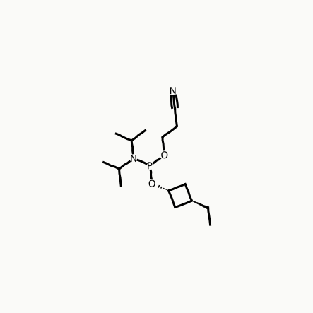 CC[C@H]1C[C@H](OP(OCCC#N)N(C(C)C)C(C)C)C1